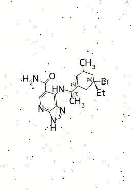 CC[C@]1(Br)CC(C)C[C@H]([C@@H](C)Nc2c(C(N)=O)cnc3[nH]cnc23)C1